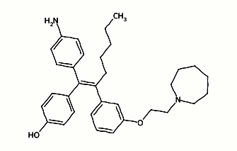 CCCCC/C(=C(\c1ccc(N)cc1)c1ccc(O)cc1)c1cccc(OCCN2CCCCCC2)c1